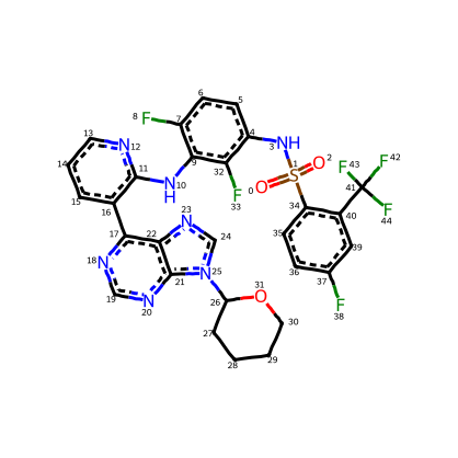 O=S(=O)(Nc1ccc(F)c(Nc2ncccc2-c2ncnc3c2ncn3C2CCCCO2)c1F)c1ccc(F)cc1C(F)(F)F